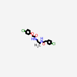 C=C(CCNC(=O)COc1ccc(Cl)cc1)NC(=O)Cc1ccc(Cl)cc1